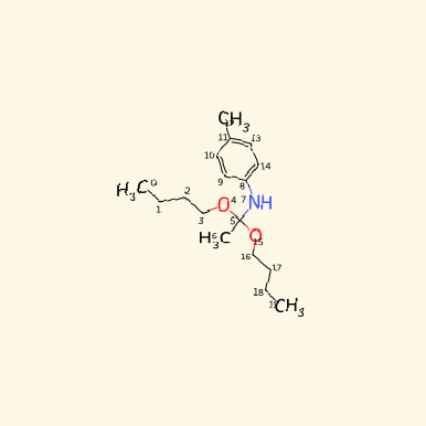 CCCCOC(C)(Nc1ccc(C)cc1)OCCCC